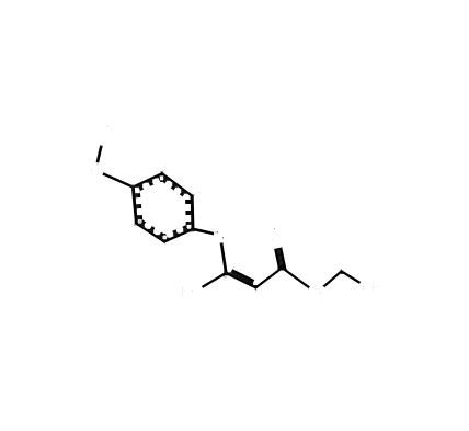 CCOC(=O)/C=C(/C)Nc1ccc(OC)cc1